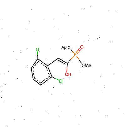 COP(=O)(OC)C(O)=Cc1c(Cl)cccc1Cl